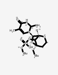 CC1=CN([C@@H]2O[C@]3(CC(C)(C)C)CCO[C@H]2C3OP(=O)(O)OC(C)(C)C)C(N)NC1=O